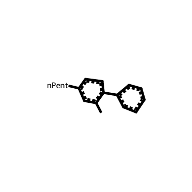 CCCCCc1ccc(-c2ccccc2)c(C)c1